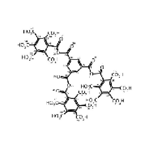 O=C(OC(=O)c1c(C(=O)O)c(C(=O)O)c(C(=O)O)c(C(=O)O)c1C(=O)O)c1cc(C(=O)OC(=O)c2c(C(=O)O)c(C(=O)O)c(C(=O)O)c(C(=O)O)c2C(=O)O)cc(C(=O)OC(=O)c2c(C(=O)O)c(C(=O)O)c(C(=O)O)c(C(=O)O)c2C(=O)O)c1